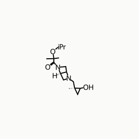 CC(C)OC(C)(C)C(=O)N1CC2[C@H]1CN2C[C@]1(C)CC1O